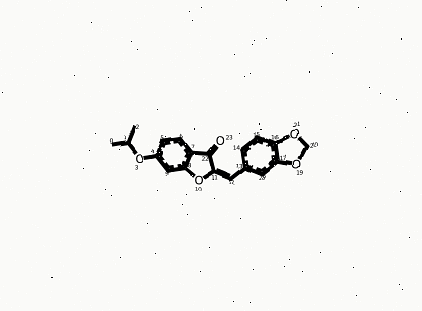 CC(C)Oc1ccc2c(c1)O/C(=C/c1ccc3c(c1)OCO3)C2=O